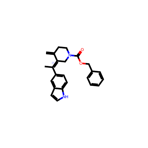 C=C1CCN(C(=O)OCc2ccccc2)C/C1=C(/C)c1ccc2[nH]ccc2c1